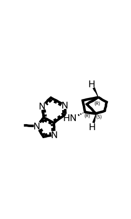 Cn1cnc2c(N[C@@H]3C[C@@H]4CC[C@H]3C4)ncnc21